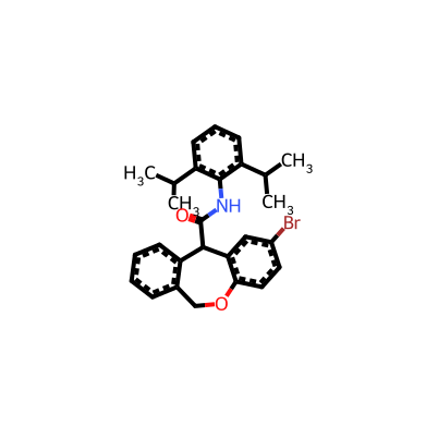 CC(C)c1cccc(C(C)C)c1NC(=O)C1c2ccccc2COc2ccc(Br)cc21